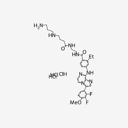 CCc1cc(Nc2nccn3c(-c4ccc(OC)c(F)c4F)cnc23)ccc1C(=O)NCCNC(=O)CCCNCCCN.Cl.Cl.Cl